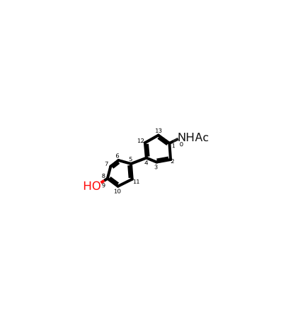 CC(=O)Nc1ccc(-c2ccc(O)cc2)cc1